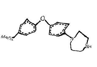 CSc1ccc(Oc2ccc(N3CCNCC3)cc2)cc1